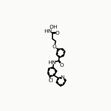 O=C(CCOc1cccc(C(=O)Nc2ccc(Cl)c(-c3ccccn3)c2)c1)NO